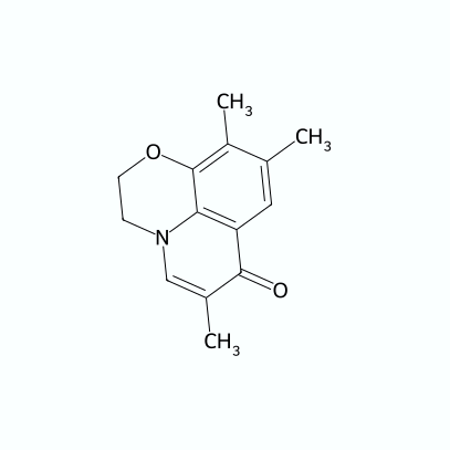 Cc1cc2c(=O)c(C)cn3c2c(c1C)OCC3